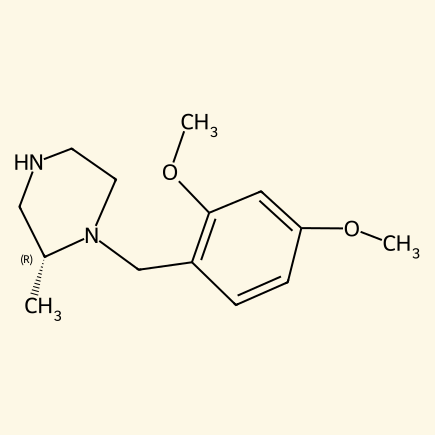 COc1ccc(CN2CCNC[C@H]2C)c(OC)c1